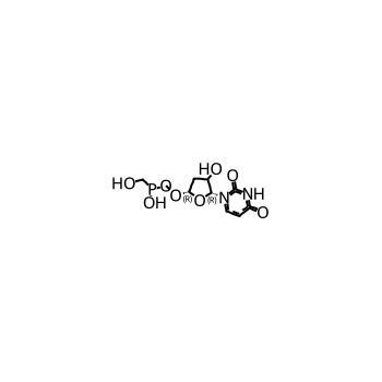 O=c1ccn([C@@H]2O[C@H](OOP(O)CO)CC2O)c(=O)[nH]1